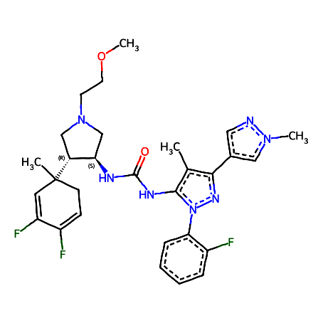 COCCN1C[C@@H](C2(C)C=C(F)C(F)=CC2)[C@H](NC(=O)Nc2c(C)c(-c3cnn(C)c3)nn2-c2ccccc2F)C1